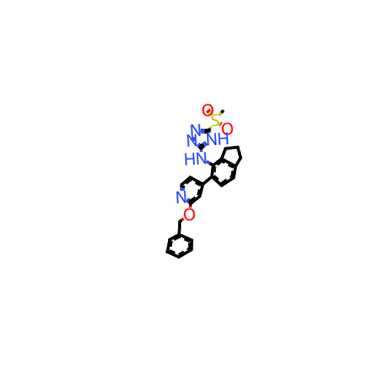 CS(=O)(=O)c1nnc(Nc2c(-c3ccnc(OCc4ccccc4)c3)ccc3c2CCC3)[nH]1